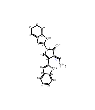 N/C=C1/C(=O)N(c2nc3c(s2)=CCCC=3)N=C1c1cc2ccccc2s1